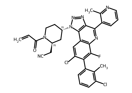 C=CC(=O)N1CC[C@H](n2nnc3c(-c4cccnc4C)nc4c(F)c(-c5cccc(Cl)c5C)c(Cl)cc4c32)C[C@H]1CC#N